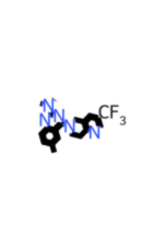 Cc1ccc2nc(N(C)C)nc(N3CCc4ncc(C(F)(F)F)cc4C3)c2c1